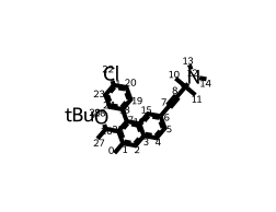 Cc1cc2ccc(C#CC(C)(C)N(C)C)cc2c(-c2ccc(Cl)cc2)c1C(C)OC(C)(C)C